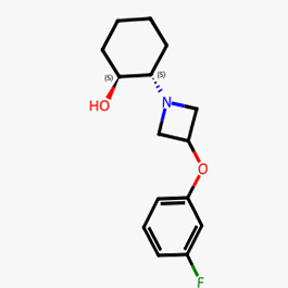 O[C@H]1CCCC[C@@H]1N1CC(Oc2cccc(F)c2)C1